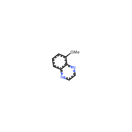 COc1cccc2n[c]cnc12